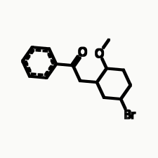 COC1CCC(Br)CC1CC(=O)c1ccccc1